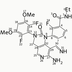 CCNC(=O)c1cccc(N2C(=O)N(c3c(F)c(OC)cc(OC)c3F)Cc3cnc(N)c(C=N)c32)c1F